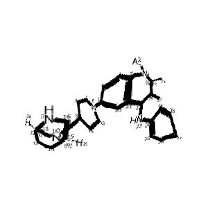 CC(=O)N1c2ccc(N3CCC(N4C[C@H]5CC[C@@H]4CN5)CC3)cc2C(Nc2ccccc2)C(C)[C@@H]1C